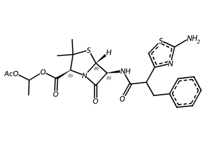 CC(=O)OC(C)OC(=O)[C@@H]1N2C(=O)[C@H](NC(=O)C(Cc3ccccc3)c3csc(N)n3)[C@H]2SC1(C)C